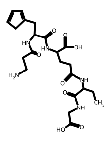 CCC(NC(=O)CCC(NC(=O)C(CC1=CC=CC1)NC(=O)CCN)C(=O)O)C(=O)NCC(=O)O